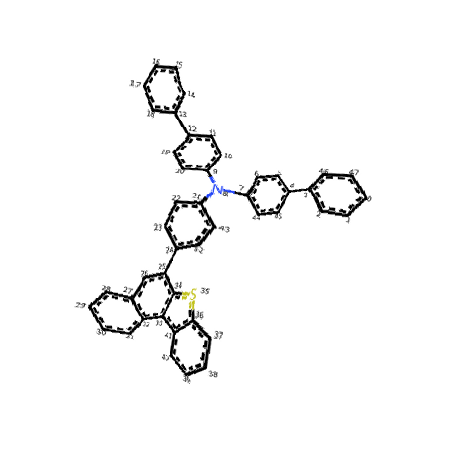 c1ccc(-c2ccc(N(c3ccc(-c4ccccc4)cc3)c3ccc(-c4cc5ccccc5c5c4sc4ccccc45)cc3)cc2)cc1